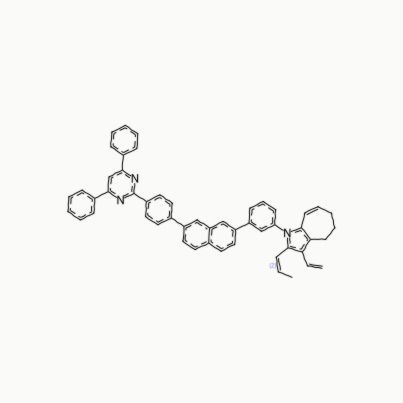 C=Cc1c2c(n(-c3cccc(-c4ccc5ccc(-c6ccc(-c7nc(-c8ccccc8)cc(-c8ccccc8)n7)cc6)cc5c4)c3)c1/C=C\C)C=CCCC2